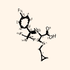 O=C(O)C(CSCC1CC1)N=C(c1ccc(F)cc1)C(F)(F)F